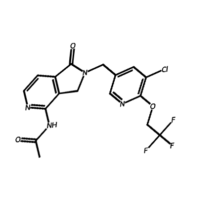 CC(=O)Nc1nccc2c1CN(Cc1cnc(OCC(F)(F)F)c(Cl)c1)C2=O